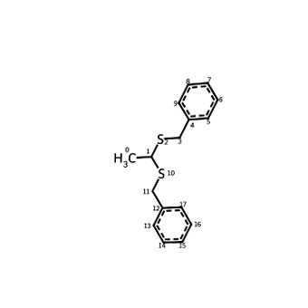 CC(SCc1ccccc1)SCc1ccccc1